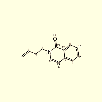 C=CCCn1cnc2ccccc2c1=O